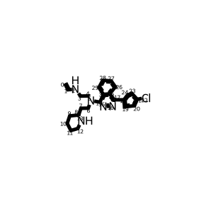 C=CNCCN(CCC1CCCCN1)c1nnc(-c2ccc(Cl)cc2)c2ccccc12